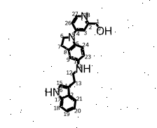 OCc1cc(N2CCc3cc(NCCc4c[nH]c5ccccc45)ccc32)ccn1